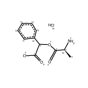 C[C@H](N)C(=O)OC(C(=O)Cl)c1ccccc1.Cl